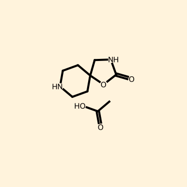 CC(=O)O.O=C1NCC2(CCNCC2)O1